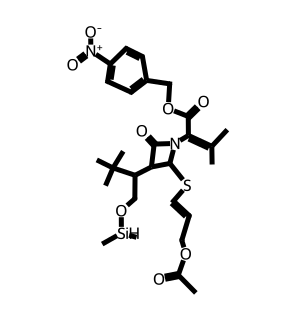 CC(=O)OCC=CSC1C(C(CO[SiH](C)C)C(C)(C)C)C(=O)N1C(C(=O)OCc1ccc([N+](=O)[O-])cc1)=C(C)C